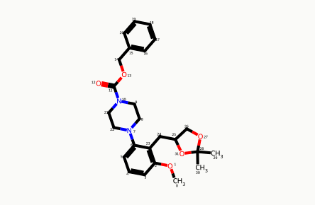 COc1cccc(N2CCN(C(=O)OCc3ccccc3)CC2)c1CC1COC(C)(C)O1